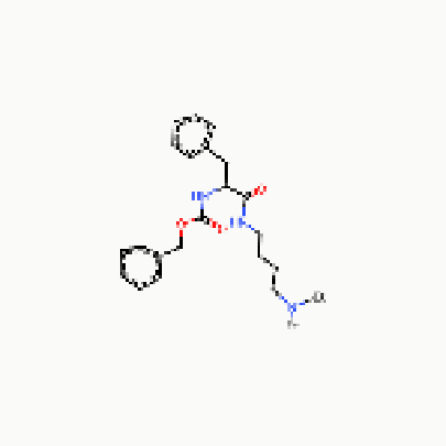 CCN(CC)CCCCNC(=O)[C@H](Cc1ccccc1)NC(=O)OCc1ccccc1